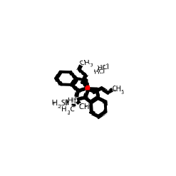 CCCCC1=CC2=C(CCCC2)[CH]1[Hf]([CH3])([CH3])(=[SiH2])[CH]1C(CCCC)=CC2=C1CCCC2.Cl.Cl